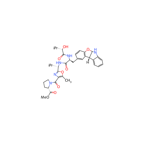 COC(=O)[C@@H]1CCCN1C(=O)c1nc([C@@H](NC(=O)[C@H](Cc2ccc3c(c2)[C@H]2c4ccccc4NC2O3)NC(=O)[C@@H](O)C(C)C)C(C)C)oc1C